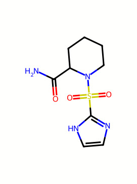 NC(=O)C1CCCCN1S(=O)(=O)c1ncc[nH]1